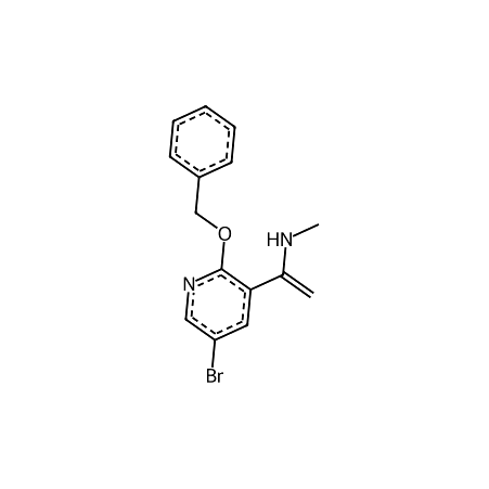 C=C(NC)c1cc(Br)cnc1OCc1ccccc1